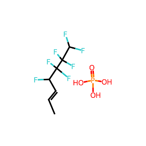 CC=CC(F)C(F)(F)C(F)(F)C(F)F.O=P(O)(O)O